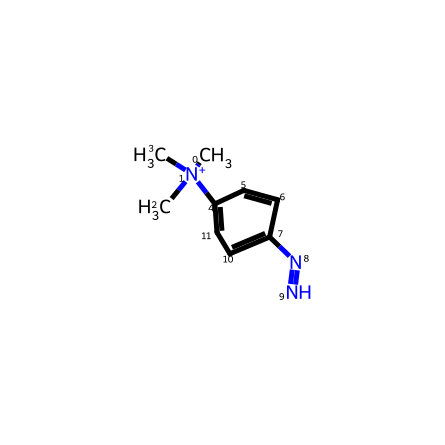 C[N+](C)(C)c1ccc(N=N)cc1